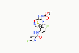 CC(C)(C)OC(=O)NC1=N[C@](C)(C2C=C(NC(=O)c3ccc(F)cn3)C=CC2F)[C@@H]2CCN=[S@]2(=O)C1(C)C